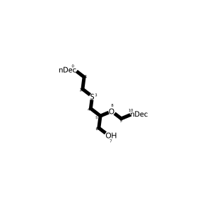 CCCCCCCCCCCCSCC(CO)OCCCCCCCCCCC